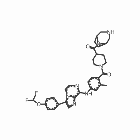 Cc1cc(Nc2nccn3c(-c4ccc(OC(F)F)cc4)cnc23)ccc1C(=O)N1CCC(C(=O)N2C3CCC2CNC3)CC1